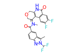 Cc1c2cc(C(=O)N(C)[C@@H]3COCc4[nH]c(=O)c5cc(F)c(F)cc5c43)ccc2nn1C(F)F